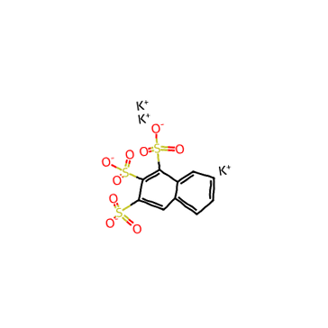 O=S(=O)([O-])c1cc2ccccc2c(S(=O)(=O)[O-])c1S(=O)(=O)[O-].[K+].[K+].[K+]